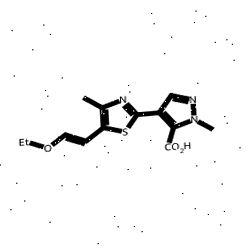 CCOC=Cc1sc(-c2cnn(C)c2C(=O)O)nc1C